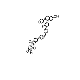 O=C1CC[C@H](N2Cc3cc(N4CCN(CC5CCN(c6ccc([C@@H]7c8ccc(O)cc8CC[C@@H]7C7CCOCC7)cc6F)CC5)CC4)ccc3C2=O)C(=O)N1